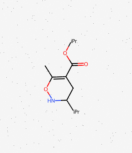 CC1=C(C(=O)OC(C)C)CC(C(C)C)NO1